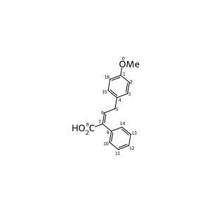 COc1ccc(CC=C(C(=O)O)c2ccccc2)cc1